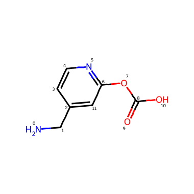 NCc1ccnc(OC(=O)O)c1